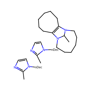 CC1N2CCCCCCN1C1=C2CCCCCC1.CCCCCCCCCCn1ccnc1C.CCCCCCCCCCn1ccnc1C